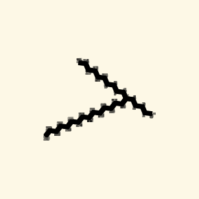 [CH2]CCCCC(CCCCCCCCCC)CCCCCCCCCCCCCCC